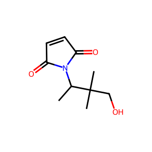 CC(N1C(=O)C=CC1=O)C(C)(C)CO